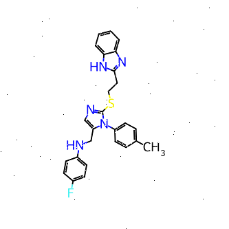 Cc1ccc(-n2c(CNc3ccc(F)cc3)cnc2SCCc2nc3ccccc3[nH]2)cc1